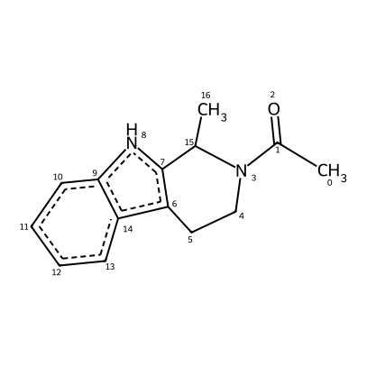 CC(=O)N1CCc2c([nH]c3ccccc23)C1C